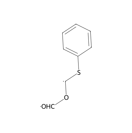 O=[C]O[CH]Sc1ccccc1